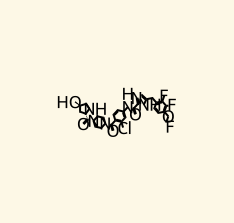 O=C(Nc1ccc(C(=O)N2CCN(C(=O)[C@@H]3C[C@@H](O)CN3)CC2)c(Cl)c1)c1ncc(Cc2ccc(OCF)c(F)c2F)[nH]1